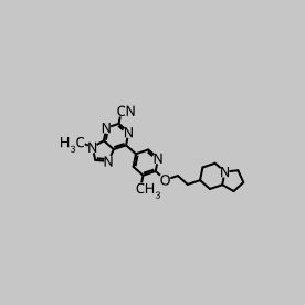 Cc1cc(-c2nc(C#N)nc3c2ncn3C)cnc1OCCC1CCN2CCCC2C1